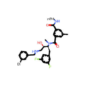 CCCCNC(=O)c1cc(C)cc(C(=O)N(C)[C@@H](Cc2cc(F)cc(F)c2)[C@H](O)CNCc2cccc(CC)c2)c1